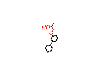 CC(O)[CH]Oc1cccc(-c2ccccc2)c1